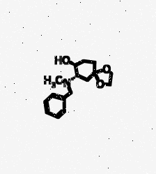 CN(Cc1ccccc1)[C@H]1CC2(CC[C@@H]1O)OCCO2